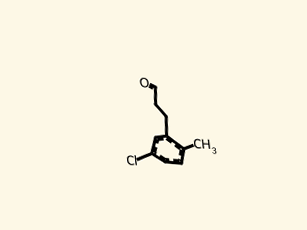 Cc1ccc(Cl)cc1CCC=O